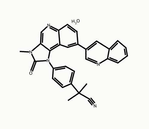 Cn1c(=O)n(-c2ccc(C(C)(C)C#N)cc2)c2c3cc(-c4cnc5ccccc5c4)ccc3ncc21.O